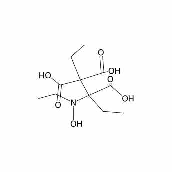 CCN(O)C(CC)(C(=O)O)C(CC)(C(=O)O)C(=O)O